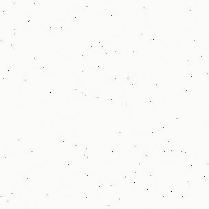 N#CC(C=O)(c1cc2ccccc2s1)C(O)c1ccccc1